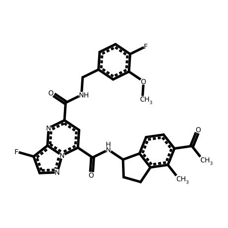 COc1cc(CNC(=O)c2cc(C(=O)NC3CCc4c3ccc(C(C)=O)c4C)n3ncc(F)c3n2)ccc1F